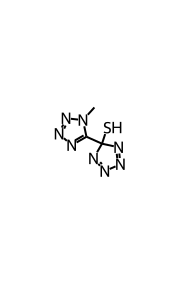 Cn1nnnc1C1(S)N=NN=N1